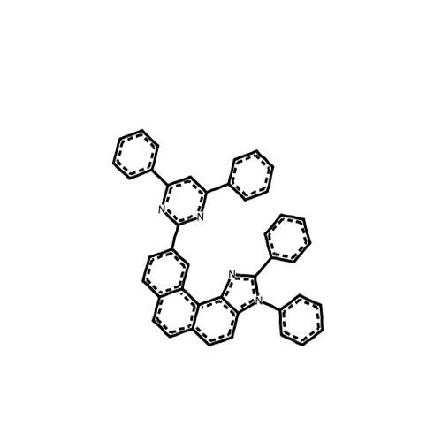 c1ccc(-c2cc(-c3ccccc3)nc(-c3ccc4ccc5ccc6c(nc(-c7ccccc7)n6-c6ccccc6)c5c4c3)n2)cc1